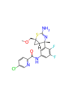 COC[C@]12C[C@H]1[C@@](C)(c1cc(NC(=O)c3ccc(Cl)cn3)cc(F)c1F)N=C(N)S2